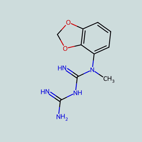 CN(C(=N)NC(=N)N)c1cccc2c1OCO2